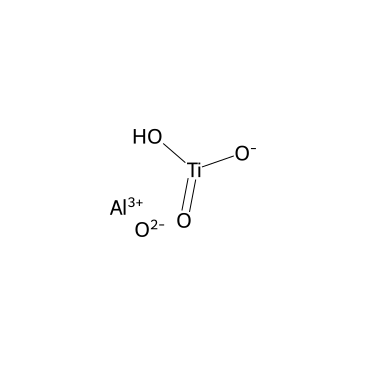 [Al+3].[O-2].[O]=[Ti]([O-])[OH]